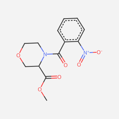 COC(=O)C1COCCN1C(=O)c1ccccc1[N+](=O)[O-]